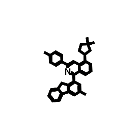 Cc1ccc(-c2cc3c(C4CCC(C)(C)C4)cccc3c(-c3cc(C)cc4c3Cc3ccccc3-4)n2)cc1